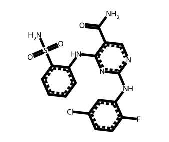 NC(=O)c1cnc(Nc2cc(Cl)ccc2F)nc1Nc1ccccc1S(N)(=O)=O